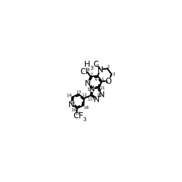 CN1CCOc2c1c(Cl)nn1c(-c3ccnc(C(F)(F)F)c3)nnc21